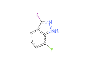 Fc1cccc2c(I)n[nH]c12